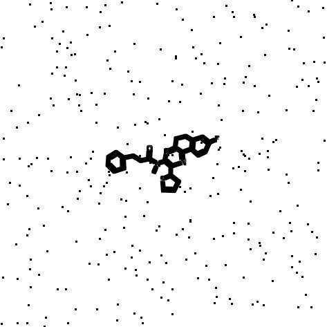 CN(C(=O)CCc1ccccc1)c1nc2c(nc1C1CC=CS1)-c1ccc(F)cc1CC2